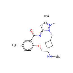 Cn1c(C(C)(C)C)c/c(=N\C(=O)c2cc(C(F)(F)F)ccc2OCCNC(C)(C)C)n1CC1CCC1